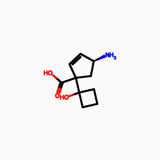 N[C@@H]1C=CC(C(=O)O)(C2(O)CCC2)C1